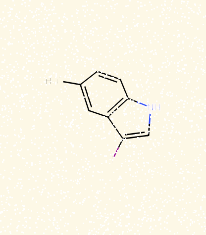 Cc1ccc2[nH]cc(I)c2c1